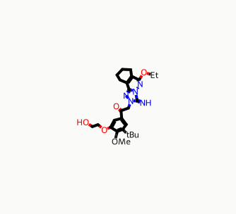 CCOc1nn2c(=N)n(CC(=O)c3cc(OCCO)c(OC)c(C(C)(C)C)c3)nc2c2c1CCCC2